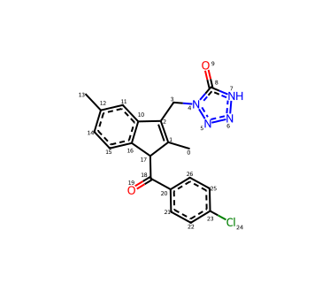 CC1=C(Cn2nn[nH]c2=O)c2cc(C)ccc2C1C(=O)c1ccc(Cl)cc1